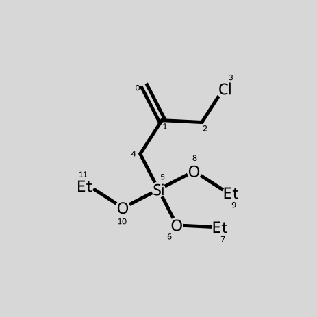 C=C(CCl)C[Si](OCC)(OCC)OCC